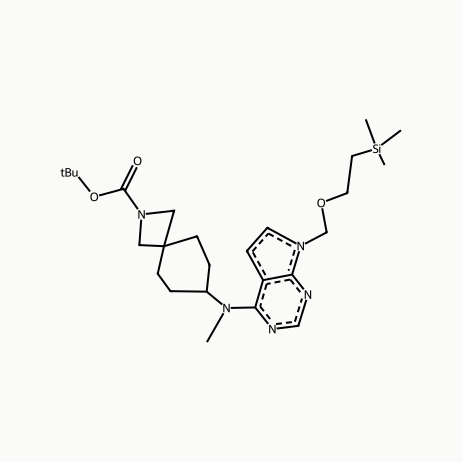 CN(c1ncnc2c1ccn2COCC[Si](C)(C)C)C1CCC2(CC1)CN(C(=O)OC(C)(C)C)C2